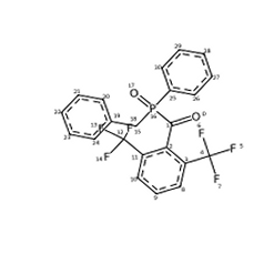 O=C(c1c(C(F)(F)F)cccc1C(F)(F)F)P(=O)(Cc1ccccc1)c1ccccc1